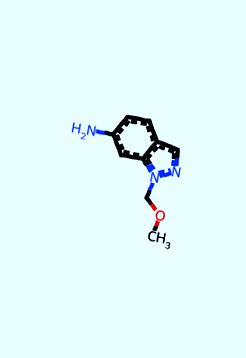 COCn1ncc2ccc(N)cc21